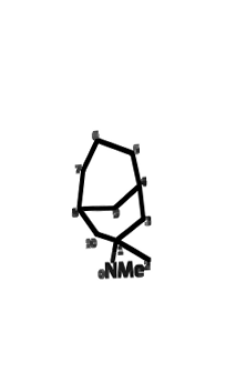 CNC1(C)CC2CCCC(C2)C1